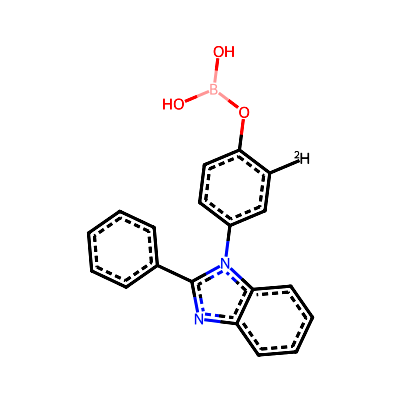 [2H]c1cc(-n2c(-c3ccccc3)nc3ccccc32)ccc1OB(O)O